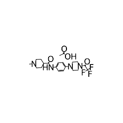 CC(=O)O.CN1CCC(C(=O)Nc2ccc(N3CCN(C(=O)C(F)(F)F)CC3)cc2)CC1